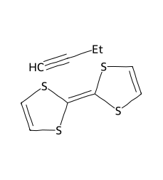 C#CCC.C1=CSC(=C2SC=CS2)S1